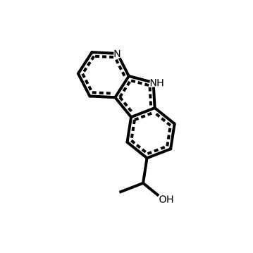 CC(O)c1ccc2[nH]c3ncccc3c2c1